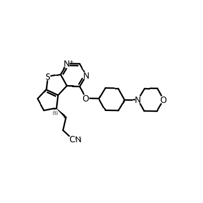 N#CCC[C@H]1CCC2=C1C1C(OC3CCC(N4CCOCC4)CC3)=NC=[N+]=C1S2